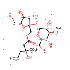 O=C(O)CC(O)(CC(=O)OC[C@@]1(O[C@H]2O[C@H](CO)[C@@H](O)[C@H](O)[C@H]2O)O[C@H](CO)[C@@H](O)[C@@H]1O)C(=O)O.[NaH]